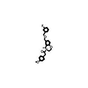 COc1ccc(CC(=O)N2CCOc3ccc(COCc4cccc(F)c4)cc3[C@@H]2C)cc1